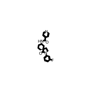 O=C(N[C@H]1CCC[C@]2(CCN(c3cccc(F)c3)C2=O)C1)c1ccncc1